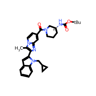 Cc1c(-c2cc3ccccc3n2CC2CC2)nc2cc(C(=O)N3CCC[C@@H](NC(=O)OC(C)(C)C)C3)ccn12